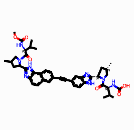 COC(=O)N[C@H](C(=O)N1CC(C)CC1c1nc2ccc3cc(C#Cc4ccc5[nH]c([C@@H]6C[C@H](C)CN6C(=O)[C@@H](NC(=O)O)C(C)C)nc5c4)ccc3c2[nH]1)C(C)C